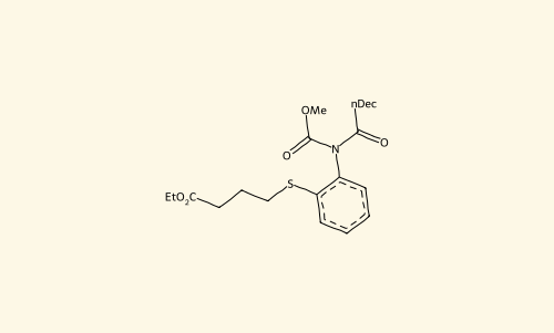 CCCCCCCCCCC(=O)N(C(=O)OC)c1ccccc1SCCCC(=O)OCC